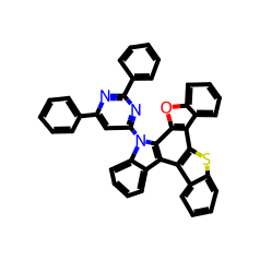 c1ccc(-c2cc(-n3c4ccccc4c4c5c6ccccc6sc5c5c6ccccc6oc5c43)nc(-c3ccccc3)n2)cc1